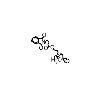 CC1(C[S+]([O-])CCOC(=O)ON2C(=O)c3ccccc3C2=O)COC1